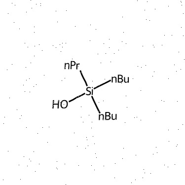 CCCC[Si](O)(CCC)CCCC